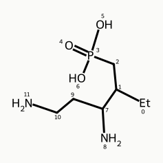 CCC(CP(=O)(O)O)C(N)CCN